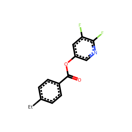 CCc1ccc(C(=O)Oc2cnc(F)c(F)c2)cc1